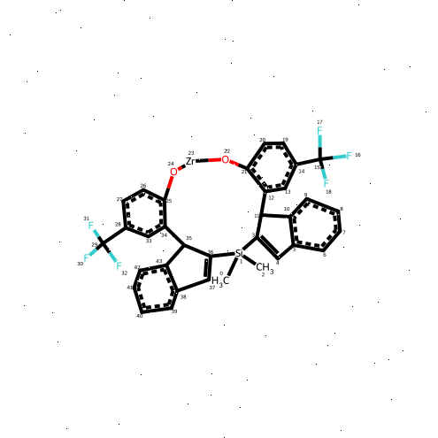 C[Si]1(C)C2=Cc3ccccc3C2c2cc(C(F)(F)F)ccc2[O][Zr][O]c2ccc(C(F)(F)F)cc2C2C1=Cc1ccccc12